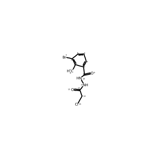 Cc1c(Br)cccc1C(=O)NNC(=O)CCl